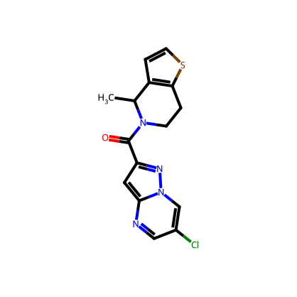 CC1c2ccsc2CCN1C(=O)c1cc2ncc(Cl)cn2n1